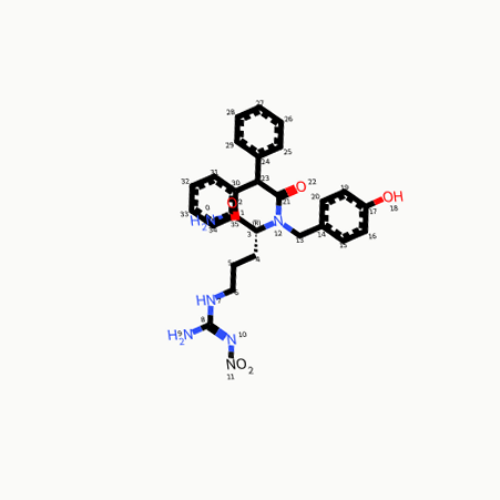 NC(=O)[C@@H](CCCNC(N)=N[N+](=O)[O-])N(Cc1ccc(O)cc1)C(=O)C(c1ccccc1)c1ccccc1